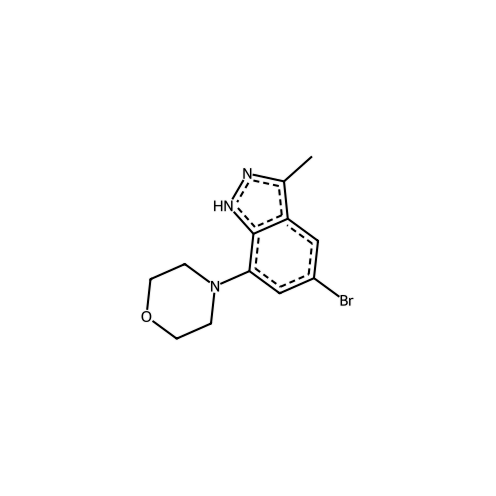 Cc1n[nH]c2c(N3CCOCC3)cc(Br)cc12